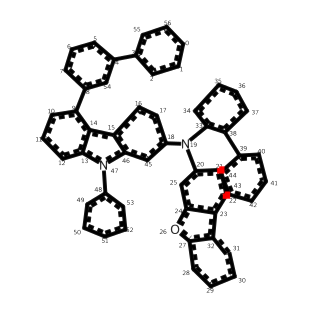 c1ccc(-c2cccc(-c3cccc4c3c3ccc(N(c5ccc6c(c5)oc5ccccc56)c5ccccc5-c5ccccc5)cc3n4-c3ccccc3)c2)cc1